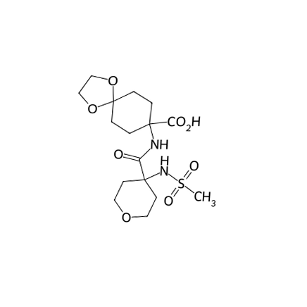 CS(=O)(=O)NC1(C(=O)NC2(C(=O)O)CCC3(CC2)OCCO3)CCOCC1